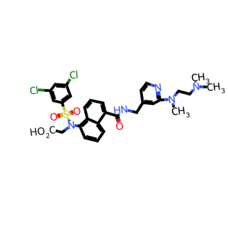 CN(C)CCN(C)c1cc(CNC(=O)c2cccc3c(N(CC(=O)O)S(=O)(=O)c4cc(Cl)cc(Cl)c4)cccc23)ccn1